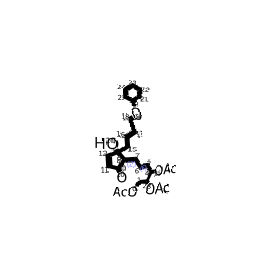 CC(=O)OCC(OC(C)=O)C(/C=C/C=C1\C(=O)C=CC1(O)CCCCOc1ccccc1)OC(C)=O